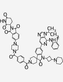 CC(C)n1cnc2cc(-c3ccc4c(c3)N(C3CC(N5CCCCC5)C3)C(=O)C43CCN(C(=O)c4ccc(C(=O)N5CCN(c6ccc7c(c6)C(=O)N([C@@H]6CCC(=O)NC6=O)C7=O)CC5)cc4)CC3)nc(Nc3ccccc3F)c21